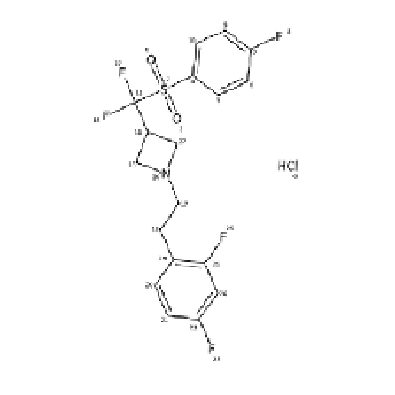 Cl.O=S(=O)(c1ccc(F)cc1)C(F)(F)C1CN(CCc2ccc(F)cc2F)C1